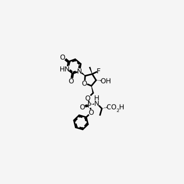 C[C@H](N[P@](=O)(OC[C@H]1O[C@@H](n2ccc(=O)[nH]c2=O)[C@](C)(F)[C@@H]1O)Oc1ccccc1)C(=O)O